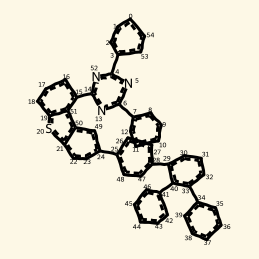 c1ccc(-c2nc(-c3ccccc3)nc(-c3cccc4sc5ccc(-c6ccc(-c7cccc(-c8ccccc8)c7-c7ccccc7)cc6)cc5c34)n2)cc1